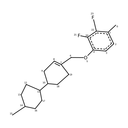 Cc1ccc(OCC2=CCC(C3CCC(C)CC3)CC2)c(F)c1F